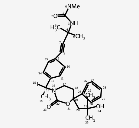 CNC(=O)NC(C)(C)C#Cc1ccc([C@](C)(I)N2CCC(CC(C)(C)O)(c3ccccc3)OC2=O)cc1